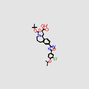 CC(C)Oc1ccc(-c2nc(-c3ccc4c(c3)CCCN(C(=O)OC(C)(C)C)C4CCC(=O)O)no2)cc1Cl